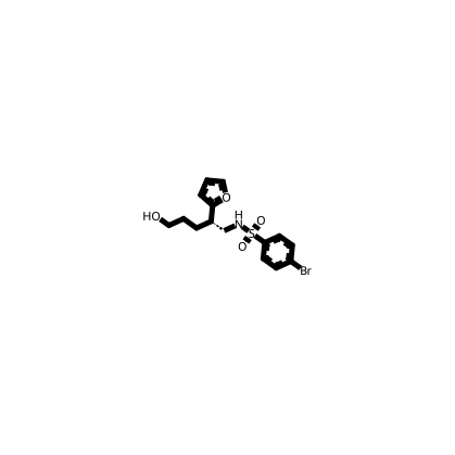 O=S(=O)(NC[C@H](CCCO)c1ccco1)c1ccc(Br)cc1